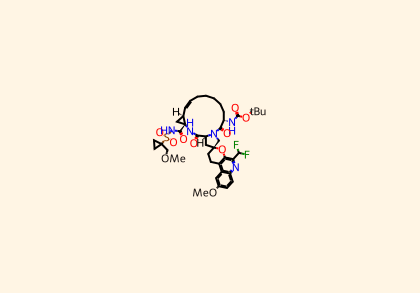 COCC1(S(=O)(=O)NC(=O)[C@@]23C[C@H]2/C=C\CCCCC[C@H](NC(=O)OC(C)(C)C)C(=O)N2C[C@@]4(CCc5c(c(C(F)F)nc6ccc(OC)cc56)O4)C[C@H]2C(=O)N3)CC1